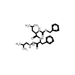 CC(C)CNNC(=O)C(Cc1ccccc1)NC(=O)C(CC(C)C)NC(=O)OCc1ccccc1